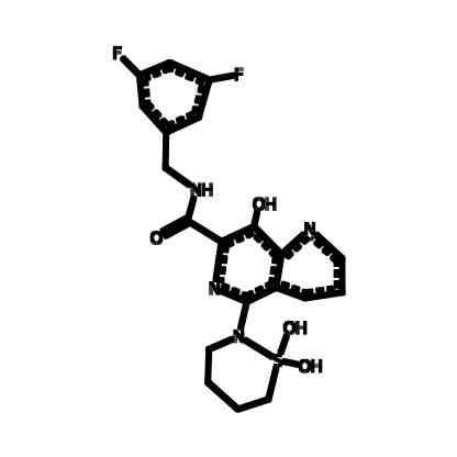 O=C(NCc1cc(F)cc(F)c1)c1nc(N2CCCCS2(O)O)c2cccnc2c1O